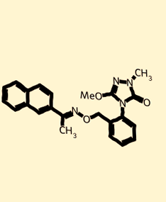 COc1nn(C)c(=O)n1-c1ccccc1CON=C(C)c1ccc2ccccc2c1